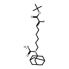 CC(C)(C)OC(=O)/C(F)=C/CCCCCN(C(N)=O)C12CC3CC(CC(C3)C1)C2